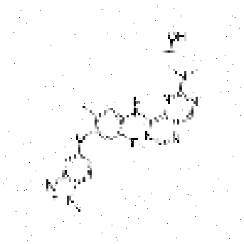 Cc1cc(Nc2ncnc3cnc(N(C)CC(C)(C)O)nc23)c(F)cc1Oc1ccc2c(c1)ncn2C